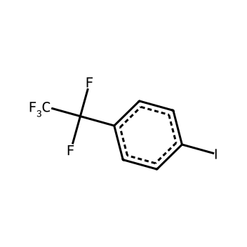 FC(F)(F)C(F)(F)c1ccc(I)cc1